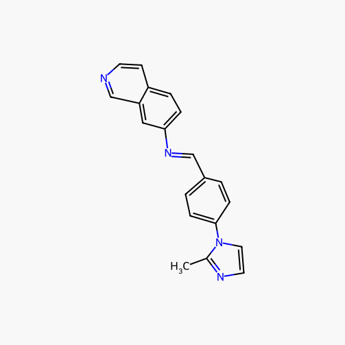 Cc1nccn1-c1ccc(/C=N/c2ccc3ccncc3c2)cc1